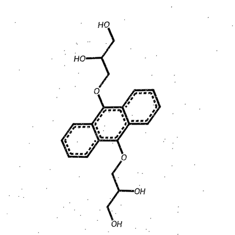 OCC(O)COc1c2ccccc2c(OCC(O)CO)c2ccccc12